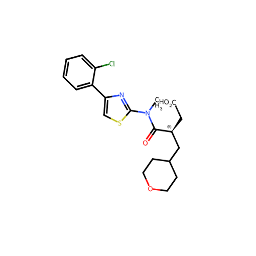 CN(C(=O)[C@@H](CC(=O)O)CC1CCOCC1)c1nc(-c2ccccc2Cl)cs1